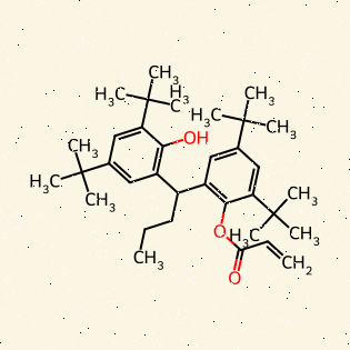 C=CC(=O)Oc1c(C(CCC)c2cc(C(C)(C)C)cc(C(C)(C)C)c2O)cc(C(C)(C)C)cc1C(C)(C)C